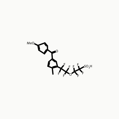 COc1ccc(C(=O)c2ccc(C)c(C(F)(F)C(F)(F)OC(F)(F)C(F)(F)S(=O)(=O)O)c2)cc1